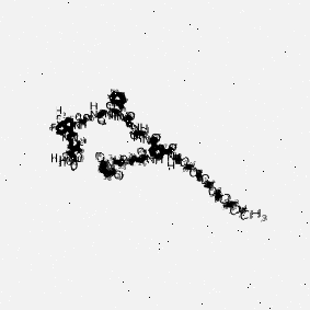 CCOCCOCCOCCOCCOCCOCCNC(=O)c1cc(NC(=O)CCCOCCN2C(=O)C=CC2=O)cc(C(=O)NCC(=O)NCC(=O)N[C@@H](Cc2ccccc2)C(=O)NCC(=O)NCOCC(=O)N[C@H]2CCc3c(C)c(F)cc4nc5c(c2c34)Cn2c-5cc3c(c2=O)COC(=O)[C@]3(O)CC)c1